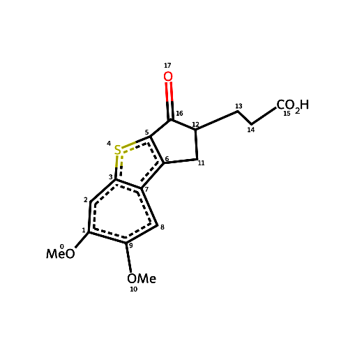 COc1cc2sc3c(c2cc1OC)CC(CCC(=O)O)C3=O